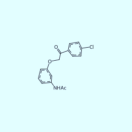 CC(=O)Nc1cccc(OCC(=O)c2ccc(Cl)cc2)c1